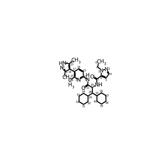 CCn1nccc1C(=O)N[C@H](C(=O)Nc1ccc(-c2c(C)n[nH]c2C)c(C)n1)C(C1CCCCC1)C1CCCCC1